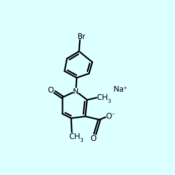 Cc1cc(=O)n(-c2ccc(Br)cc2)c(C)c1C(=O)[O-].[Na+]